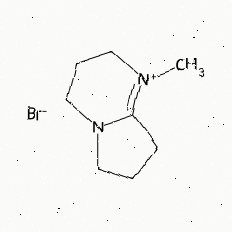 C[N+]1=C2CCCN2CCC1.[Br-]